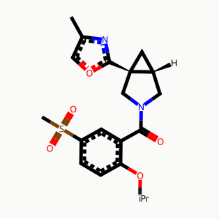 Cc1coc([C@@]23C[C@@H]2CN(C(=O)c2cc(S(C)(=O)=O)ccc2OC(C)C)C3)n1